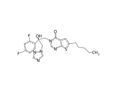 CCCCCc1cc2c(=O)n(C[C@](O)(Cn3cncn3)c3ccc(F)cc3F)cnc2s1